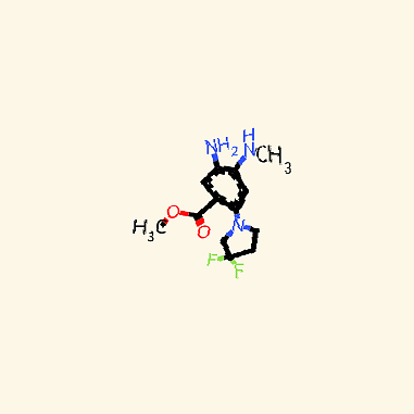 CNc1cc(N2CCC(F)(F)C2)c(C(=O)OC)cc1N